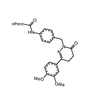 CCCCCC(=O)Nc1ccc(CN2N=C(c3ccc(OC)c(OC)c3)CCC2=O)cc1